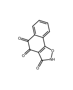 O=C1C(=O)c2c(o[nH]c2=O)-c2ccccc21